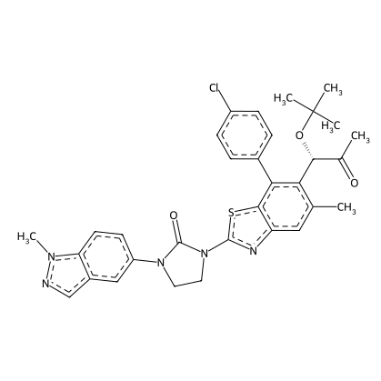 CC(=O)[C@@H](OC(C)(C)C)c1c(C)cc2nc(N3CCN(c4ccc5c(cnn5C)c4)C3=O)sc2c1-c1ccc(Cl)cc1